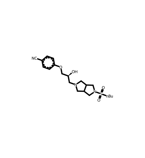 CCCCS(=O)(=O)N1CC2CN(C[C@H](O)COc3ccc(C#N)cc3)CC2C1